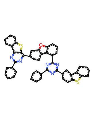 c1ccc(-c2nc(-c3ccc4sc5ccccc5c4c3)nc(-c3cccc4oc5cc(-c6nc(-c7ccccc7)nc7c6sc6ccccc67)ccc5c34)n2)cc1